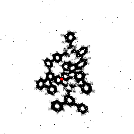 c1ccc(-c2cc(-c3ccccc3)cc(-c3nc(-c4ccccc4)nc(-n4c5ccccc5c5ccc6c(c54)-c4ccccc4C64c5ccccc5-c5c(-c6cccc(-c7nc(-c8ccccc8)nc(-c8ccc(-c9cccc(-c%10ccc%11c%12ccccc%12c%12ccccc%12c%11c%10)c9)cc8)n7)c6)cccc54)n3)c2)cc1